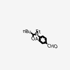 CCCCC(OC(C)=O)N(CC)c1ccc(C=O)cc1